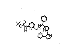 Cn1c(C2=NC=CC2=C2C=CC=N2)ccc1C(=NOCc1cccc(NC(=O)OC(C)(C)C)n1)c1ccccc1